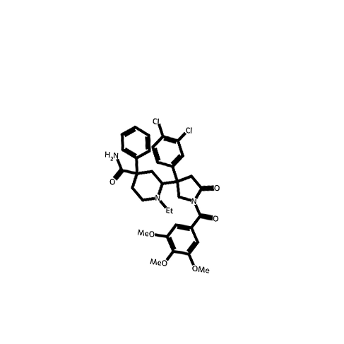 CCN1CCC(C(N)=O)(c2ccccc2)CC1C1(c2ccc(Cl)c(Cl)c2)CC(=O)N(C(=O)c2cc(OC)c(OC)c(OC)c2)C1